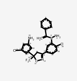 C=C(c1ccccc1)N(N)c1cc(C2=NOC(c3cc(N)cc(Cl)c3)(C(F)(F)F)C2)ccc1Cl